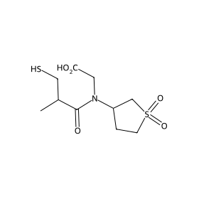 CC(CS)C(=O)N(CC(=O)O)C1CCS(=O)(=O)C1